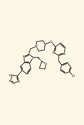 Clc1ccc(Cc2nccc(OC3CCN(Cc4nc5cc(-c6nnn[nH]6)ccc5n4C[C@@H]4CCO4)CC3)n2)cc1